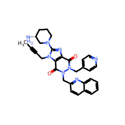 CC#CCn1c(N2CCC[C@@H](N)C2)nc2c(=O)n(Cc3ccncc3)n(Cc3ccc4ccccc4n3)c(=O)c21